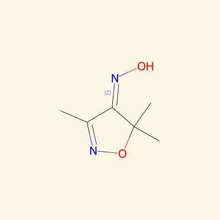 CC1=NOC(C)(C)/C1=N\O